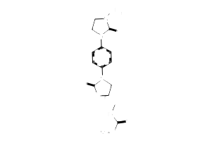 COC(=S)NC[C@H]1CN(c2ccc(N3CCN(C)C3=O)cc2)C(=O)O1